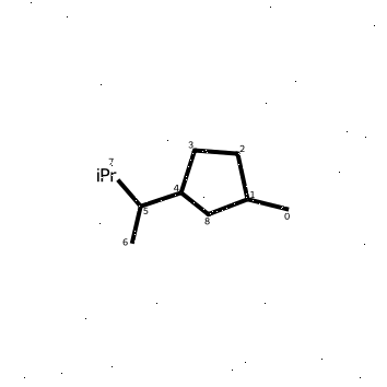 CC1CCC(C(C)C(C)C)C1